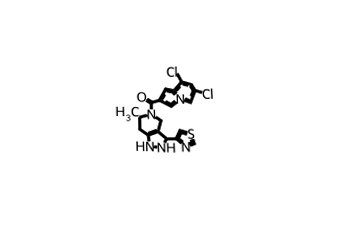 CC1CC2=C(CN1C(=O)c1cc3c(Cl)cc(Cl)cn3c1)C(c1cscn1)NN2